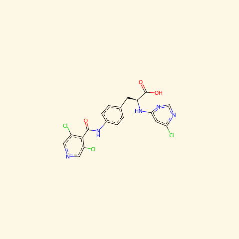 O=C(Nc1ccc(C[C@H](Nc2cc(Cl)ncn2)C(=O)O)cc1)c1c(Cl)cncc1Cl